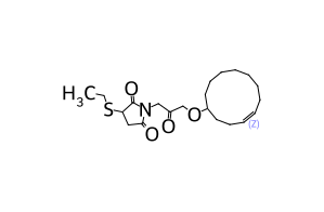 CCSC1CC(=O)N(CC(=O)COC2CC/C=C\CCCCCCC2)C1=O